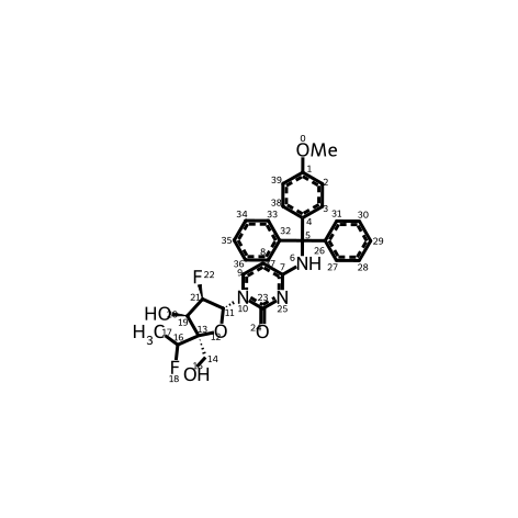 COc1ccc(C(Nc2ccn([C@@H]3O[C@@](CO)(C(C)F)[C@@H](O)[C@H]3F)c(=O)n2)(c2ccccc2)c2ccccc2)cc1